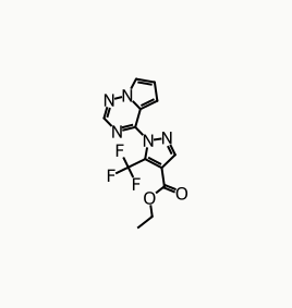 CCOC(=O)c1cnn(-c2ncnn3cccc23)c1C(F)(F)F